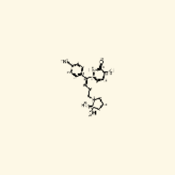 CC(C)(C)c1ccc(C(=CCCN2CCCS2(O)O)c2ccc(Cl)c(=O)[nH]2)cc1